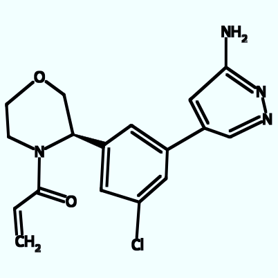 C=CC(=O)N1CCOC[C@H]1c1cc(Cl)cc(-c2cnnc(N)c2)c1